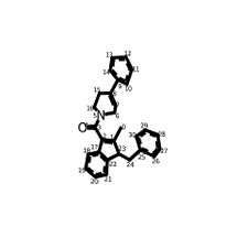 CC1=C(C(=O)N2CC=C(c3ccccc3)CC2)c2ccccc2C1Cc1ccccc1